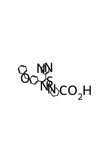 O=C(O)C1CCCN(c2nc(-c3ccc(Oc4ccccc4)cc3)c(-c3cncnc3)s2)C1